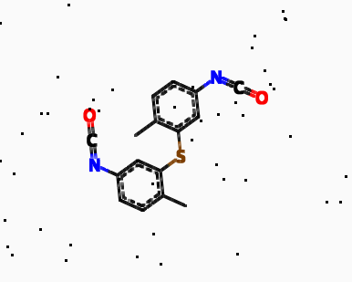 Cc1ccc(N=C=O)cc1Sc1cc(N=C=O)ccc1C